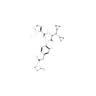 CC(C)n1nccc1C(=O)NC(C(=O)Nc1ccc(CC(=O)N2CCC2C(F)(F)F)cc1F)C(C1CC1)C1CC1